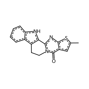 Cc1cc2c(=O)n3c(nc2s1)-c1[nH]c2ccccc2c1CC3